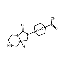 O=C1N2CCNC[C@H]2CN1C12CCC(C(=O)O)(CC1)CC2